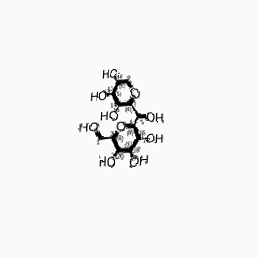 OC[C@H]1O[C@@H](C(O)[C@@H]2O[CH][C@@H](O)[C@H](O)[C@H]2O)[C@H](O)[C@@H](O)[C@H]1O